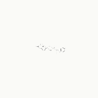 C[C@@H]1CN(c2ncc(C[C@@H](O)CO)cc2F)CCN1C(=O)Nc1nc2ccc(Cl)cc2s1